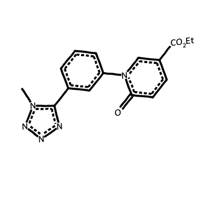 CCOC(=O)c1ccc(=O)n(-c2cccc(-c3nnnn3C)c2)c1